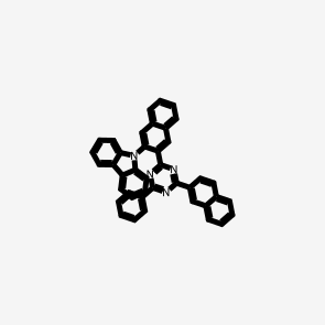 c1ccc(-c2nc(-c3ccc4ccccc4c3)nc(-c3cc4ccccc4cc3-n3c4ccccc4c4ccccc43)n2)cc1